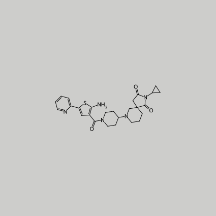 Nc1sc(-c2ccccn2)cc1C(=O)N1CCC(N2CCCC3(CC(=O)N(C4CC4)C3=O)C2)CC1